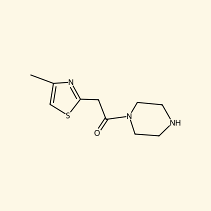 Cc1csc(CC(=O)N2CCNCC2)n1